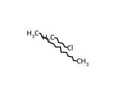 CCCCCCCCCCCCCC.CCCCCCl